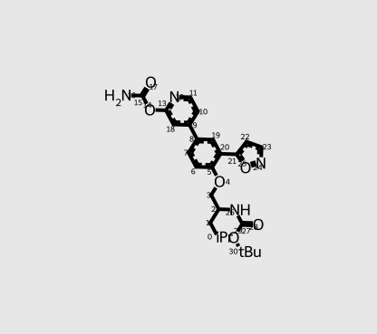 CC(C)CC(COc1ccc(-c2ccnc(OC(N)=O)c2)cc1-c1ccno1)NC(=O)OC(C)(C)C